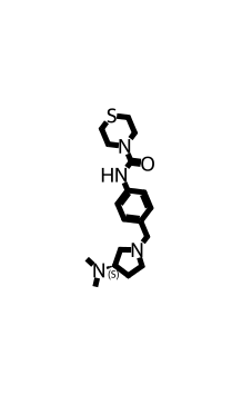 CN(C)[C@H]1CCN(Cc2ccc(NC(=O)N3CCSCC3)cc2)C1